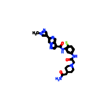 Cn1cc(-c2cn3ncc(C(=O)Nc4cc(NC(=O)CN5CCC(CC(N)=O)CC5)ccc4F)c3cn2)cn1